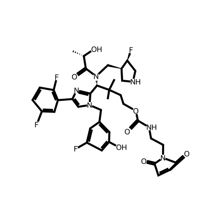 C[C@H](O)C(=O)N(C[C@@H]1CNC[C@@H]1F)[C@@H](c1nc(-c2cc(F)ccc2F)cn1Cc1cc(O)cc(F)c1)C(C)(C)CCOC(=O)NCCN1C(=O)C=CC1=O